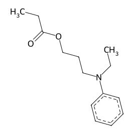 CCC(=O)OCCCN(CC)c1ccccc1